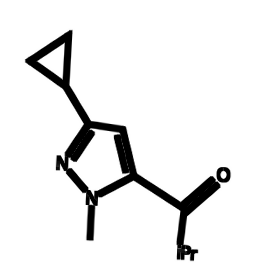 CC(C)C(=O)c1cc(C2CC2)nn1C